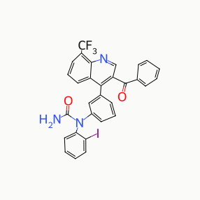 NC(=O)N(c1cccc(-c2c(C(=O)c3ccccc3)cnc3c(C(F)(F)F)cccc23)c1)c1ccccc1I